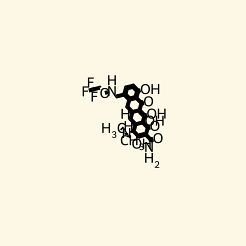 CN(C)[C@@H]1C(O)=C(C(N)=O)C(=O)[C@@]2(O)C(O)=C3C(=O)c4c(O)ccc(CNOCC(F)(F)F)c4C[C@H]3C[C@@H]12